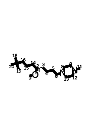 CO[C@@H](CCCCN1CCN(C)CC1)CCCC(C)(C)C